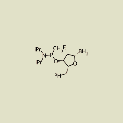 [2H]C[C@H]1O[C@@H](B)[C@@H](F)[C@@H]1OP(C)N(C(C)C)C(C)C